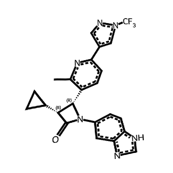 Cc1nc(-c2cnn(C(F)(F)F)c2)ccc1[C@H]1[C@@H](C2CC2)C(=O)N1c1ccc2[nH]cnc2c1